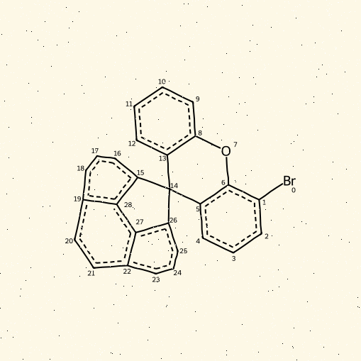 Brc1cccc2c1Oc1ccccc1C21c2cccc3ccc4cccc1c4c23